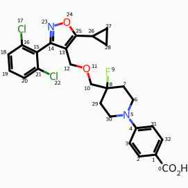 O=C(O)c1ccc(N2CCC(F)(COCc3c(-c4c(Cl)cccc4Cl)noc3C3CC3)CC2)cc1